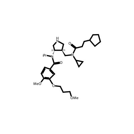 COCCCOc1cc(C(=O)N(C(C)C)[C@@H]2CNC[C@H]2CN(C(=O)CCC2CCCC2)C2CC2)ccc1OC